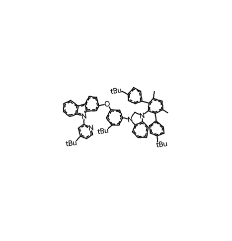 Cc1cc(C)c(-c2ccc(C(C)(C)C)cc2)c(N2CN(c3cc(Oc4ccc5c6ccccc6n(-c6cc(C(C)(C)C)ccn6)c5c4)cc(C(C)(C)C)c3)c3ccccc32)c1-c1ccc(C(C)(C)C)cc1